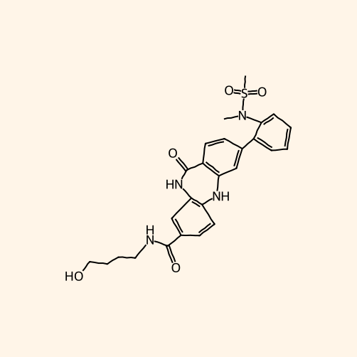 CN(c1ccccc1-c1ccc2c(c1)Nc1ccc(C(=O)NCCCCO)cc1NC2=O)S(C)(=O)=O